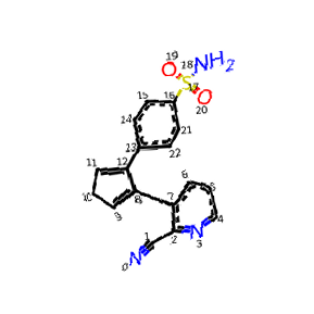 N#Cc1ncccc1C1=CCC=C1c1ccc(S(N)(=O)=O)cc1